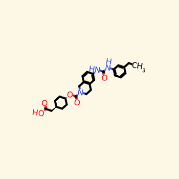 CCc1cccc(NC(=O)Nc2ccc3c(c2)CCN(C(=O)O[C@H]2CC[C@H](CC(=O)O)CC2)C3)c1